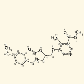 COC(=O)c1cncc(OCC2CN(Cc3ccc(OC)cc3)C(=O)O2)c1N